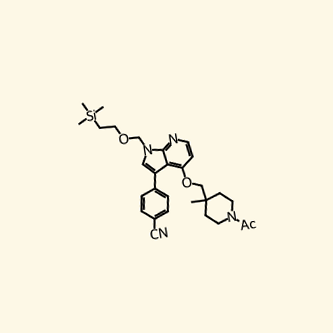 CC(=O)N1CCC(C)(COc2ccnc3c2c(-c2ccc(C#N)cc2)cn3COCC[Si](C)(C)C)CC1